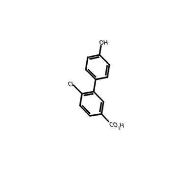 O=C(O)c1ccc(Cl)c(-c2ccc(O)cc2)c1